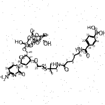 CC(C)(CNC(=O)CCCCNC(=O)c1ccc(B(O)O)cc1)SSCO[C@@H]1C[C@H](n2ccc(N)nc2=O)O[C@@H]1COP(=O)(O)OP(=O)(O)OP(=O)(O)O